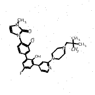 Cn1ccn(-c2ccc(-c3cc(F)cc(-c4ccnc(N5CCN(CC(C)(C)C)CC5)c4)c3O)cc2Cl)c1=O